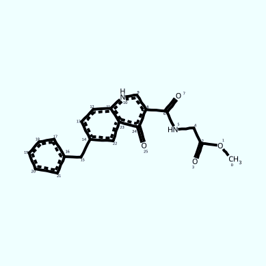 COC(=O)CNC(=O)c1c[nH]c2ccc(Cc3ccccc3)cc2c1=O